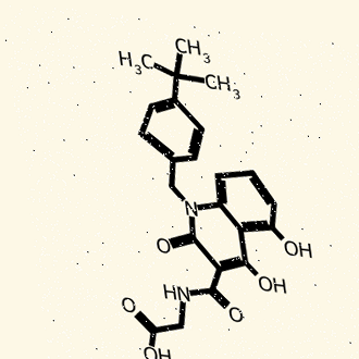 CC(C)(C)c1ccc(Cn2c(=O)c(C(=O)NCC(=O)O)c(O)c3c(O)cccc32)cc1